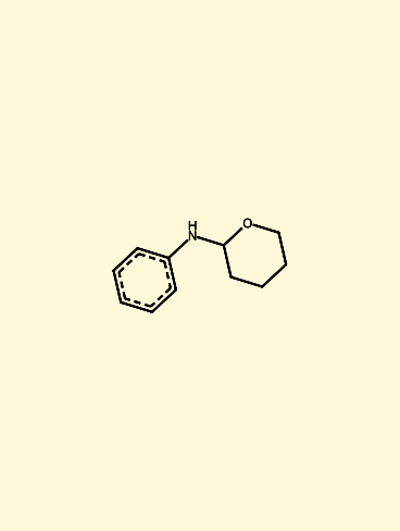 c1ccc(NC2CCCCO2)cc1